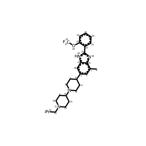 Cc1cc(C2CCN(C3CCN(CC(C)C)CC3)CC2)cc2[nH]c(-c3ccccc3OC(F)(F)F)nc12